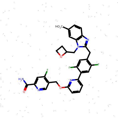 NC(=O)c1cc(F)c(COc2cccc(-c3cc(F)c(Cc4nc5ccc(C(=O)O)cc5n4CC4CCO4)cc3F)n2)cn1